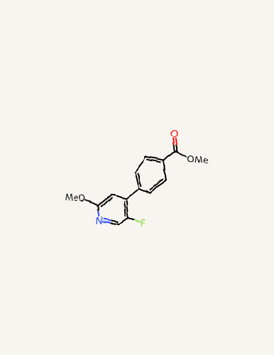 COC(=O)c1ccc(-c2cc(OC)ncc2F)cc1